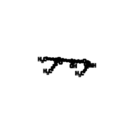 CCCCCCCCC(CCCCCCCC)OC(=O)CCCCCCCN(CCO)CCCCCCOC(=O)/C=C\C(=N)OCCCCCC